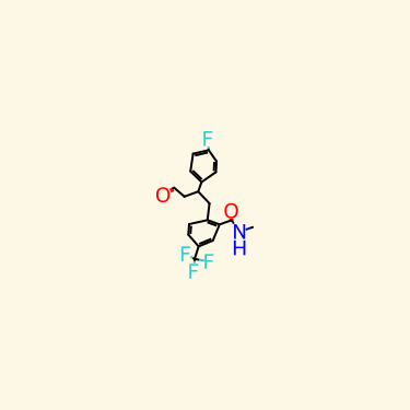 CNC(=O)c1cc(C(F)(F)F)ccc1CC(CC=O)c1ccc(F)cc1